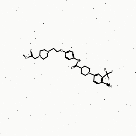 COC(=O)CN1CCN(CCOc2ccc(NC(=O)C3CCN(c4ccc(C#N)c(C(F)(F)F)c4)CC3)nc2)CC1